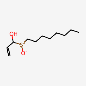 C=CC(O)[S+]([O-])CCCCCCCC